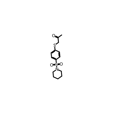 CC(=O)CSc1ccc(S(=O)(=O)N2CCCCC2)cc1